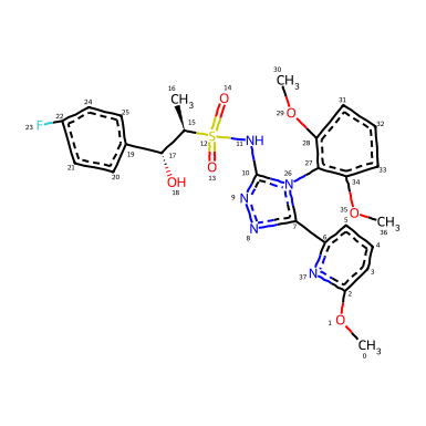 COc1cccc(-c2nnc(NS(=O)(=O)[C@H](C)[C@H](O)c3ccc(F)cc3)n2-c2c(OC)cccc2OC)n1